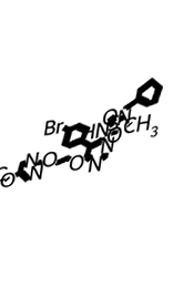 COc1cnc(OCCOc2ncnc(NS(=O)(=O)N(C)Cc3ccccc3)c2-c2ccc(Br)cc2)nc1